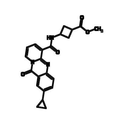 COC(=O)C1CC(NC(=O)c2cccn3c(=O)c4cc(C5CC5)ccc4nc23)C1